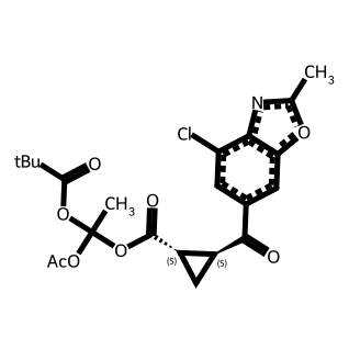 CC(=O)OC(C)(OC(=O)[C@H]1C[C@@H]1C(=O)c1cc(Cl)c2nc(C)oc2c1)OC(=O)C(C)(C)C